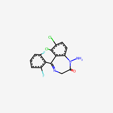 NN1C(=O)CN=C(c2c(F)cccc2F)c2c1ccc(Cl)c2Cl